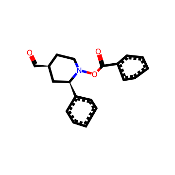 O=C[C@H]1CCN(OC(=O)c2ccccc2)[C@@H](c2ccccc2)C1